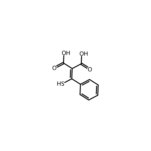 O=C(O)C(C(=O)O)=C(S)c1ccccc1